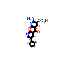 Nc1nc2oc3ncc(C4=CCCC4)cc3c(=O)c2cc1C(=O)O